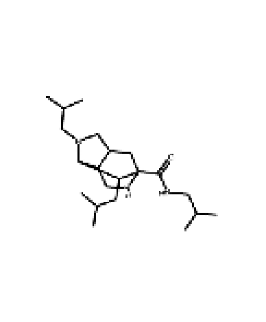 CC(C)CNC(=O)C12CC3CN(CC(C)C)C(C3CN1)C2CC(C)C